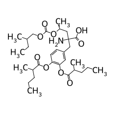 CCCC(C)C(=O)Oc1ccc(CC(N)(C[C@H](C)OC(=O)OCC(C)CC)C(=O)O)cc1OC(=O)C(C)CCC